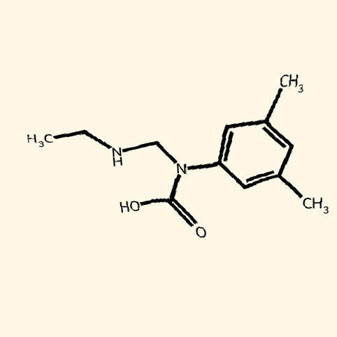 CCNCN(C(=O)O)c1cc(C)cc(C)c1